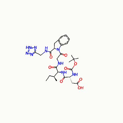 CC[C@H](C)[C@H](NC(=O)[C@@H](CC(=O)O)NC(=O)OC(C)(C)C)C(=O)NCC(=O)N1c2ccccc2CC1C(=O)NCc1nn[nH]n1